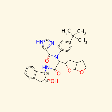 CC(C)(C)c1ccc(N(C(=O)c2c[nH]cn2)C(C(=O)N[C@@H]2c3ccccc3C[C@@H]2O)C2CC3CCOC3O2)cc1